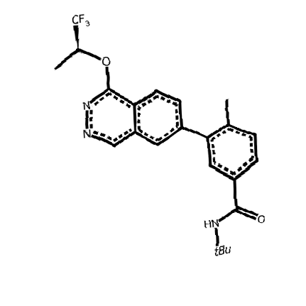 Cc1ccc(C(=O)NC(C)(C)C)cc1-c1ccc2c(O[C@@H](C)C(F)(F)F)nncc2c1